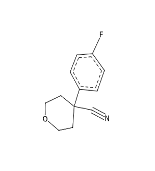 N#CC1(c2ccc(F)cc2)CCOCC1